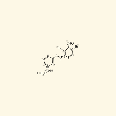 O=Cc1c(Br)ccc(OCc2cccc(NC(=O)O)c2)c1F